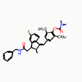 COc1cc(/C=C2\c3ccc(F)cc3C(CC(=O)NCc3ccccc3)C2C)cc(OC)c1OC(=O)N(C)C